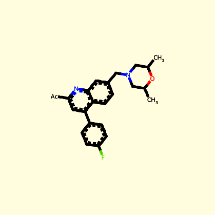 CC(=O)c1cc(-c2ccc(F)cc2)c2ccc(CN3CC(C)OC(C)C3)cc2n1